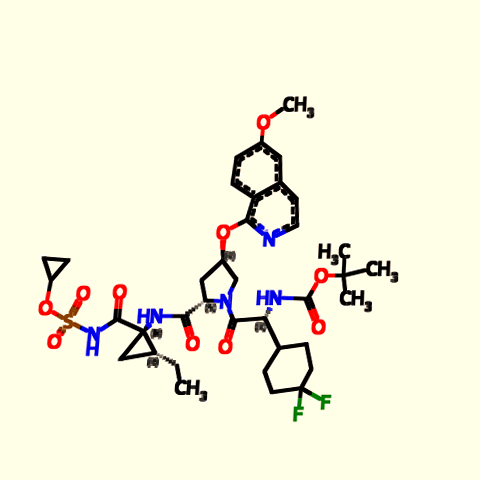 CC[C@@H]1C[C@]1(NC(=O)[C@@H]1C[C@@H](Oc2nccc3cc(OC)ccc23)CN1C(=O)[C@H](NC(=O)OC(C)(C)C)C1CCC(F)(F)CC1)C(=O)NS(=O)(=O)OC1CC1